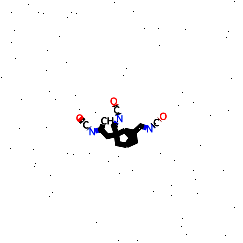 CC(CC1(CN=C=O)CC2CC(CN=C=O)C1C2)N=C=O